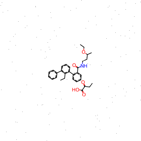 CCC(=O)C(=O)O.CCOC(C)CCNC(=O)c1ccccc1-c1cccc(-c2ccccc2)c1CC